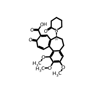 COc1cc2c(c(OC)c1OC)-c1ccc(=O)c(C(=O)O)cc1[C@@H](N1CCCCC1=O)CC2